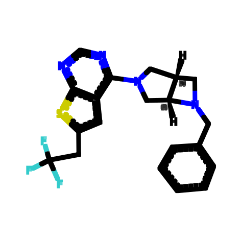 FC(F)(F)Cc1cc2c(N3C[C@@H]4CN(Cc5ccccc5)[C@@H]4C3)ncnc2s1